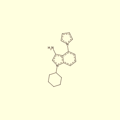 Nc1cn(C2CCCCC2)c2cccc(-n3cccc3)c12